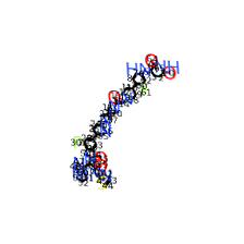 O=C1CCC(Nc2ccc(C3CCN(CC(=O)N4CC5(C4)CN(c4ccc(-c6cc(F)c7c(c6)C(=O)N(C(C(=O)Nc6nccs6)c6ncn8c6CCC8)C7)cn4)C5)CC3)c(F)c2)C(=O)N1